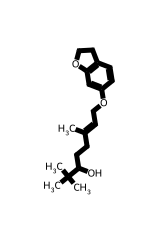 C/C(=C\COc1ccc2c(c1)OCC2)CCC(O)C(C)(C)C